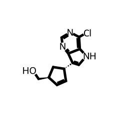 OC[C@@H]1C=C[C@@H](c2c[nH]c3c(Cl)ncnc23)C1